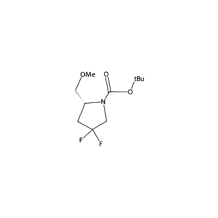 COC[C@H]1CC(F)(F)CN1C(=O)OC(C)(C)C